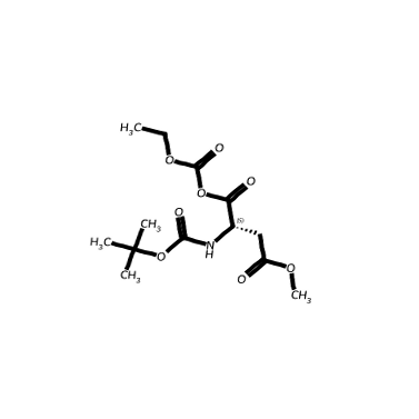 CCOC(=O)OC(=O)[C@H](CC(=O)OC)NC(=O)OC(C)(C)C